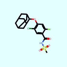 CS(=O)(=O)NC(=O)c1cc(Cl)c(OC2C3CC4CC(C3)CC2C4)cc1F